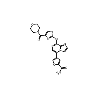 NC(=O)c1cc(-c2cnc(Nc3nc(C(=O)N4CCOCC4)co3)c3nccn23)co1